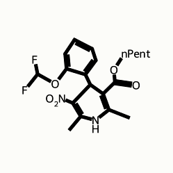 CCCCCOC(=O)C1=C(C)NC(C)=C([N+](=O)[O-])C1c1ccccc1OC(F)F